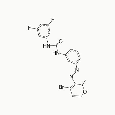 CC1OC=CC(Br)=C1N=Nc1cccc(NC(=O)Nc2cc(F)cc(F)c2)c1